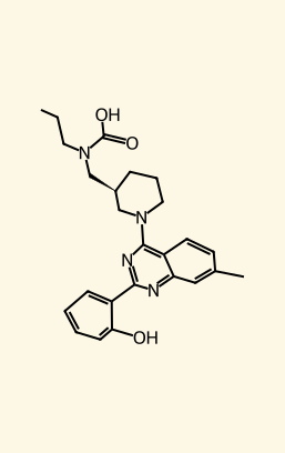 CCCN(C[C@H]1CCCN(c2nc(-c3ccccc3O)nc3cc(C)ccc23)C1)C(=O)O